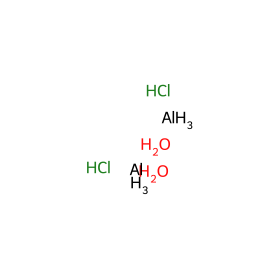 Cl.Cl.O.O.[AlH3].[AlH3]